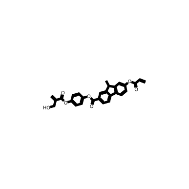 C=CC(=O)Oc1ccc2c(c1)C(C)c1cc(C(=O)Oc3ccc(OC(=O)C(=C)CO)cc3)ccc1-2